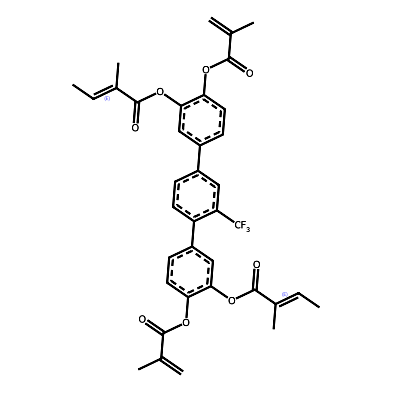 C=C(C)C(=O)Oc1ccc(-c2ccc(-c3ccc(OC(=O)C(=C)C)c(OC(=O)/C(C)=C/C)c3)c(C(F)(F)F)c2)cc1OC(=O)/C(C)=C/C